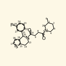 CC1CCCN(C(=O)CCC(=O)N2CCc3sccc3C2c2cccc(F)c2)C1